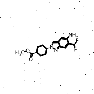 COC(=O)[C@H]1CC[C@H](n2cc3cc(N)c(C(F)F)cc3n2)CC1